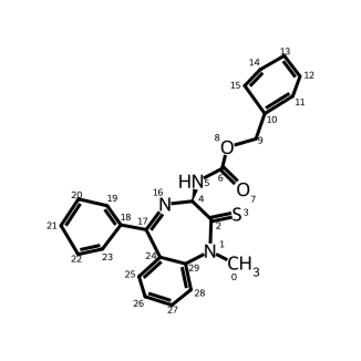 CN1C(=S)[C@H](NC(=O)OCc2ccccc2)N=C(c2ccccc2)c2ccccc21